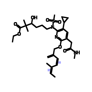 C=C(/C=C\C(C)=C/C)COc1nc(N(CCCC(O)C(C)(C)C(=O)OCC)S(C)(=O)=O)c(C2CC2)cc1CC(=O)NC